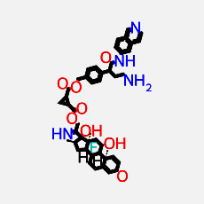 C[C@@H]1C[C@H]2[C@@H]3CCC4=CC(=O)C=C[C@]4(C)[C@@]3(F)[C@@H](O)C[C@]2(C)[C@@]1(O)C(=N)COC(=O)C1CC1C(=O)OCc1ccc(C(CCN)C(=O)Nc2ccc3cnccc3c2)cc1